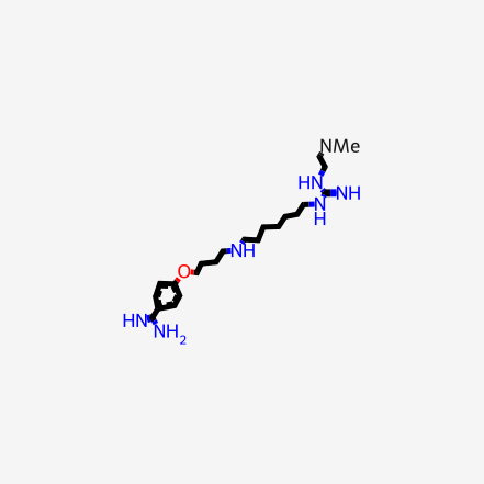 CNCCNC(=N)NCCCCCCCNCCCCOc1ccc(C(=N)N)cc1